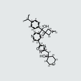 CC(C)c1ccc(C(O)(c2cncc(-c3nc(CC4(O)CCOCC4)no3)c2)C2(C)CN(C)C2)cc1